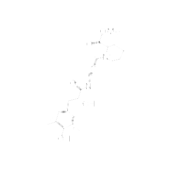 COC(=O)C1CCCCN1C=C=C=NC(=O)[C@H](O)Cc1cc(C)c(O)c(C)c1